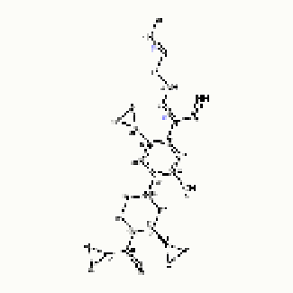 C/N=C/CN/C=C(\C=N)c1cc(C#N)c(N2CCN(C(=O)C3CC3)[C@H](C3CC3)C2)nc1C1CC1